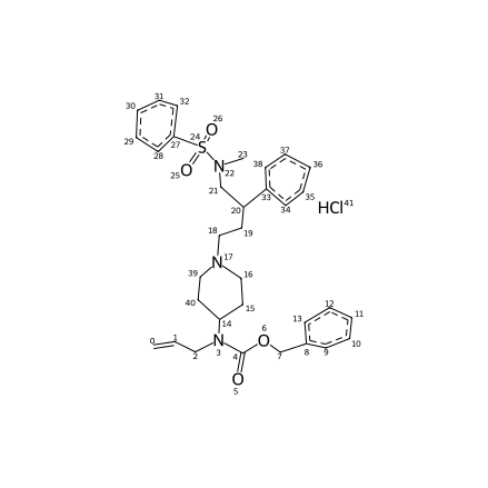 C=CCN(C(=O)OCc1ccccc1)C1CCN(CCC(CN(C)S(=O)(=O)c2ccccc2)c2ccccc2)CC1.Cl